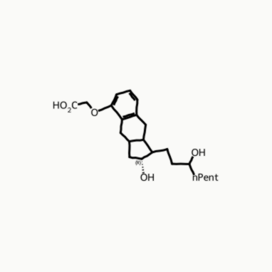 CCCCCC(O)CCC1C2Cc3cccc(OCC(=O)O)c3CC2C[C@H]1O